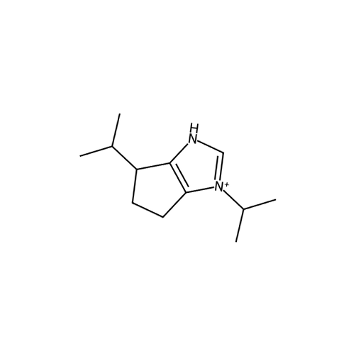 CC(C)C1CCc2c1[nH]c[n+]2C(C)C